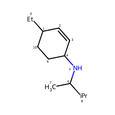 CCC1C=CC(NC(C)C(C)C)CC1